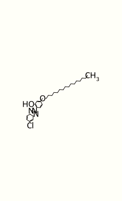 CCCCCCCCCCCCCCCCOc1ccc(-n2nc3ccc(Cl)cc3n2)c(O)c1